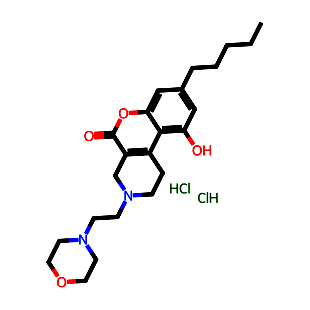 CCCCCc1cc(O)c2c3c(c(=O)oc2c1)CN(CCN1CCOCC1)CC3.Cl.Cl